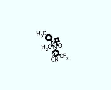 C=C1N(c2cnc(C#N)c(C(F)(F)F)c2)C(=O)C2(CCC2)N1c1ccc(C)cc1